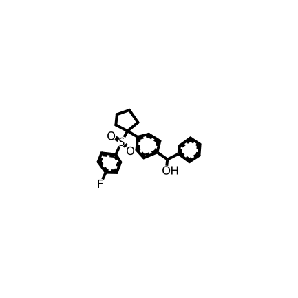 O=S(=O)(c1ccc(F)cc1)C1(c2ccc(C(O)c3ccccc3)cc2)CCCC1